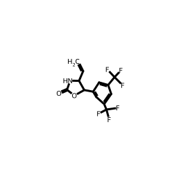 C=CC1NC(=O)OC1c1cc(C(F)(F)F)cc(C(F)(F)F)c1